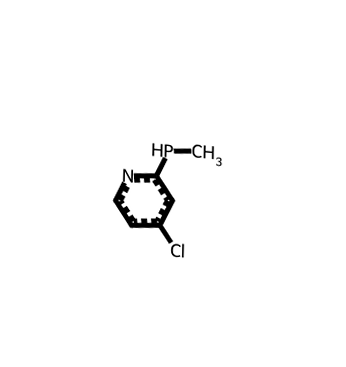 CPc1cc(Cl)ccn1